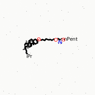 CCCCCOC[C@H](COCCCCCCCCO[C@H]1CCC2(C)C(=CC[C@@H]3[C@@H]2CC[C@]2(C)[C@@H]([C@H](C)CCCC(C)C)CC[C@@H]32)C1)N(C)C